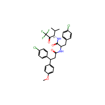 COc1ccc(C(CC(=O)NC(Cc2ccc(Cl)cc2)C(=O)N[C@H](C(=O)C(F)(F)F)C(C)C)c2ccc(Cl)cc2)cc1